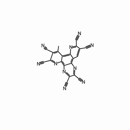 Cc1c(C#N)c(C#N)nc2c3nc(C#N)c(C#N)nc3c3cc(C#N)c(C#N)nc3c12